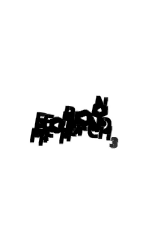 CN(C(=O)c1ccncc1)c1cccc(C(=O)N(Br)c2ccc(C(F)(C(F)(F)F)C(F)(F)F)cc2C(F)(F)F)c1F